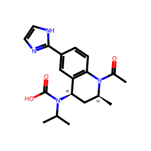 CC(=O)N1c2ccc(-c3ncc[nH]3)cc2[C@H](N(C(=O)O)C(C)C)C[C@@H]1C